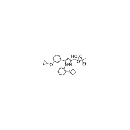 CCC(C)(OCc1cc(-c2cccc(OC3CC3)c2)n(-c2ccccc2N2CCC2)n1)C(=O)O